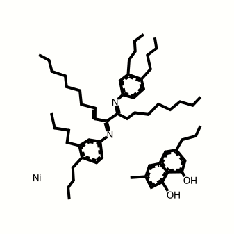 CCCCCCCC=CC(=Nc1ccc(CCCC)c(CCCC)c1)C(CCCCCCCC)=Nc1ccc(CCCC)c(CCCC)c1.CCCc1cc(O)c2c(O)cc(C)cc2c1.[Ni]